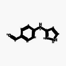 O=Cc1ccc(Nc2cc[nH]n2)cc1